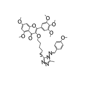 COc1ccc(C=Nn2c(C)nnc2SCCCCOc2c(-c3cc(OC)c(OC)c(OC)c3)oc3cc(OC)cc(OC)c3c2=O)cc1